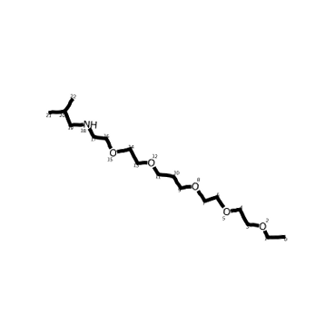 CCOCCOCCOCCCOCCOCCNCC(C)C